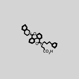 O=C(O)CCN(CCCc1ccccc1)C(=O)c1ccccc1-c1ccccc1C(=O)N1CCc2ccccc2C1